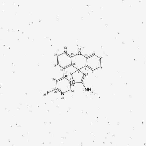 NC1=NC2(CO1)c1ccccc1Oc1nccc(-c3ccnc(F)c3)c12